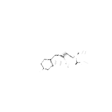 CC1CCC(C[C@@H](N)CN(C)C(=O)O)CC1